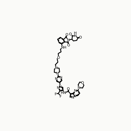 O=C1CCC(N2C(=O)c3cccc(NCCCOCCCN4CCN(c5ncc(-n6cc(NC(=O)c7cnn8ccc(N9CCOCC9)nc78)c(C(F)F)n6)cn5)CC4)c3C2=O)C(=O)N1